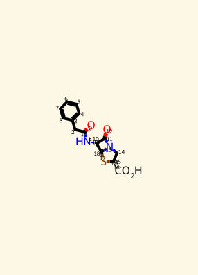 O=C(Cc1ccccc1)N[C@@H]1C(=O)N2C[C@H](C(=O)O)SC12